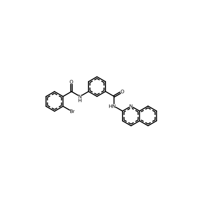 O=C(Nc1ccc2ccccc2n1)c1cccc(NC(=O)c2ccccc2Br)c1